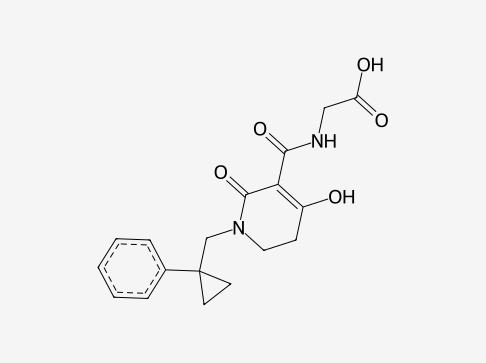 O=C(O)CNC(=O)C1=C(O)CCN(CC2(c3ccccc3)CC2)C1=O